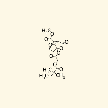 CCC(C)(C)C(=O)OCC(=O)OC12CC3OC1C(C(=O)O2)C3C(=O)OC